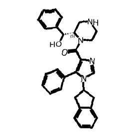 O=C(c1ncn(C2Cc3ccccc3C2)c1-c1ccccc1)N1CCNC[C@H]1C(O)c1ccccc1